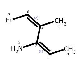 C/C=C(N)\C(C)=C/CC